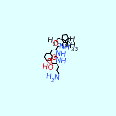 CC1(C)[C@@H]2CC[C@@]1(C)[C@@H](NC(=O)[C@@H](CC1CCCCC1)NC(=O)N[C@@H](CCCN)C(=O)O)C2